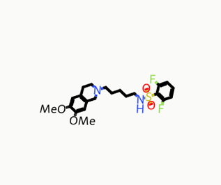 COc1cc2c(cc1OC)CN(CCCCCNS(=O)(=O)c1c(F)cccc1F)CC2